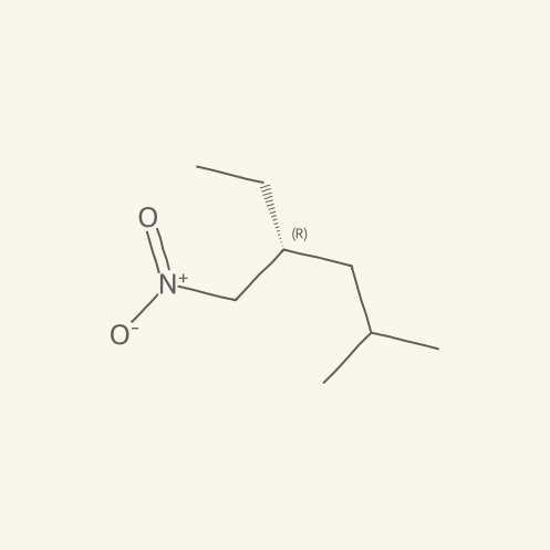 CC[C@H](CC(C)C)C[N+](=O)[O-]